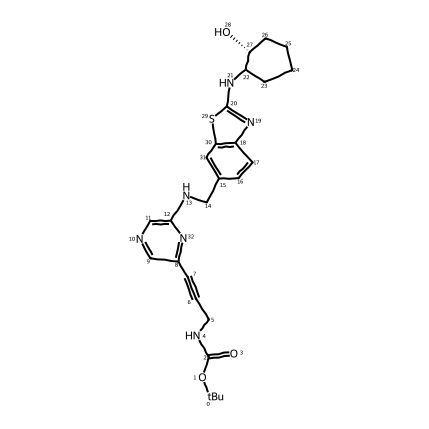 CC(C)(C)OC(=O)NCC#Cc1cncc(NCc2ccc3nc(NC4CCCC[C@H]4O)sc3c2)n1